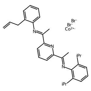 C=CCc1ccccc1/N=C(\C)c1cccc(/C(C)=N/c2c(C(C)C)cccc2C(C)C)n1.[Br-].[Br-].[Co+2]